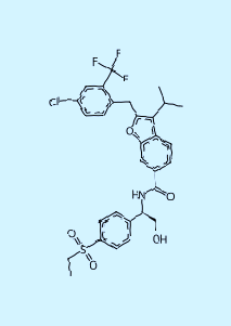 CCS(=O)(=O)c1ccc([C@H](CO)NC(=O)c2ccc3c(C(C)C)c(Cc4ccc(Cl)cc4C(F)(F)F)oc3c2)cc1